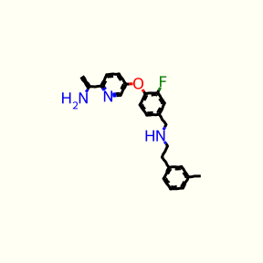 C=C(N)c1ccc(Oc2ccc(CNCCc3cccc(C)c3)cc2F)cn1